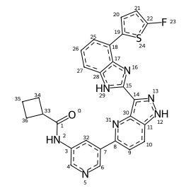 O=C(Nc1cncc(-c2ccc3[nH]nc(-c4nc5c(-c6ccc(F)s6)cccc5[nH]4)c3n2)c1)C1CCC1